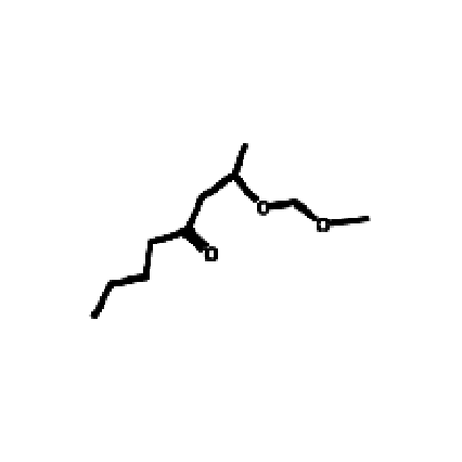 CCCCC(=O)CC(C)OCOC